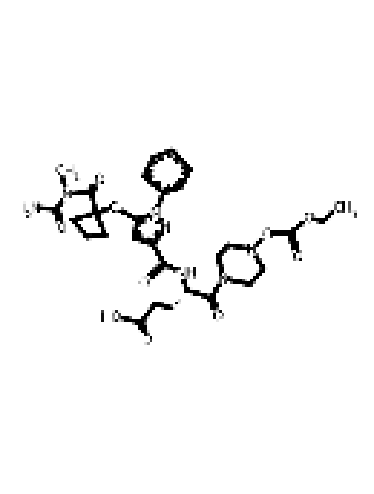 CCOC(=O)ON1CCN(C(=O)[C@H](CCC(=O)O)NC(=O)c2cc(OC3(C(=O)N(C)C(N)=O)CCC3)n(-c3ccccc3)n2)CC1